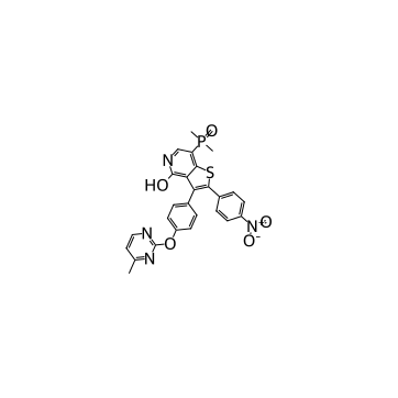 Cc1ccnc(Oc2ccc(-c3c(-c4ccc([N+](=O)[O-])cc4)sc4c(P(C)(C)=O)cnc(O)c34)cc2)n1